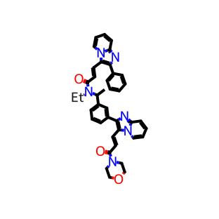 CCN(C(=O)/C=C/c1c(-c2ccccc2)nc2ccccn12)C(C)c1cccc(-c2nc3ccccn3c2/C=C/C(=O)N2CCOCC2)c1